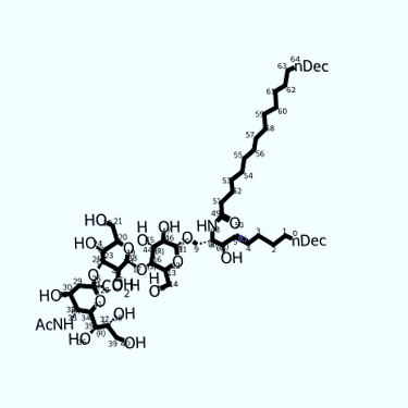 CCCCCCCCCCCCC/C=C/[C@@H](O)[C@H](CO[C@@H]1OC(CO)[C@@H](O[C@@H]2OC(CO)[C@H](O)[C@H](O[C@]3(C(=O)O)CC(O)[C@@H](NC(C)=O)C([C@H](O)[C@H](O)CO)O3)C2O)[C@H](O)C1O)NC(=O)CCCCCCCCCCCCCCCCCCCCCCC